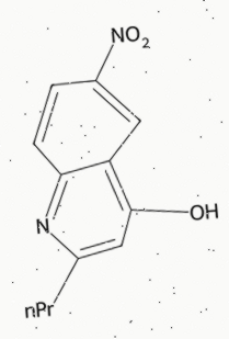 CCCc1cc(O)c2cc([N+](=O)[O-])ccc2n1